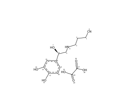 N#CCCCNC[C@H](O)c1ccc(O)c(O)c1.O=C(O)C(=O)O